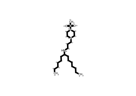 CCCCCCCC(CCCCCC)NCCCN1CCN(S(C)(=O)=O)CC1